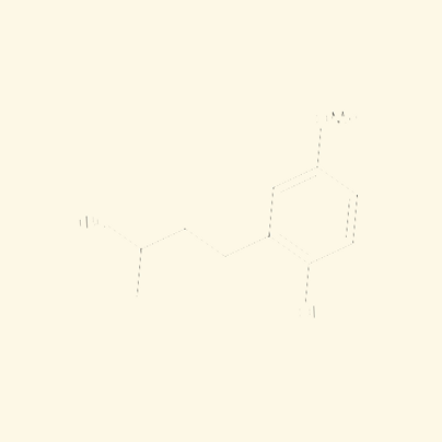 COc1ccc(O)c(CCC(C)C(C)(C)C)c1